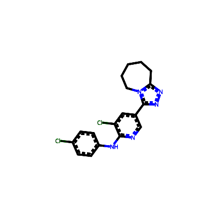 Clc1ccc(Nc2ncc(-c3nnc4n3CCCCC4)cc2Cl)cc1